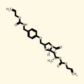 C=CCOC(=O)NCc1ccc(OCC2CN3C(=O)[C@H]([C@@H](C)OC(=O)OCC=C)[C@H]3S2)cc1